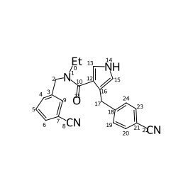 CCN(Cc1cccc(C#N)c1)C(=O)c1c[nH]cc1Cc1ccc(C#N)cc1